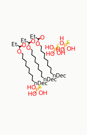 CCCCCCCCCCCCCCCCCCOC(=O)CC.CCCCCCCCCCCCCCCCCCOC(=O)CC.CCCCCCCCCCCCCCCCCCOC(=O)CC.OP(O)(O)=S.OP(O)(O)=S.OP(O)(O)=S